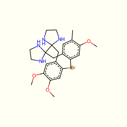 COc1cc(C)c(CC2(C3(Cc4cc(OC)c(OC)cc4Br)NCCN3)NCCN2)cc1C